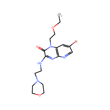 O=c1c(NCCN2CCOCC2)nc2ncc(Br)cc2n1CCOCC(F)(F)F